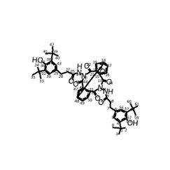 CC(C)(C)c1cc(CCC(=O)NN2C(=O)c3ccc4cc3C(=O)N(NC(=O)CCc3cc(C(C)(C)C)c(O)c(C(C)(C)C)c3)C(=O)c3cc(ccc3C2=O)C4=O)cc(C(C)(C)C)c1O